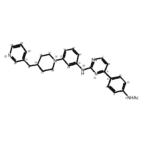 CC(=O)Nc1ccc(-c2ccnc(Nc3cccc(N4CCC(Cc5cccnc5)CC4)c3)n2)cc1